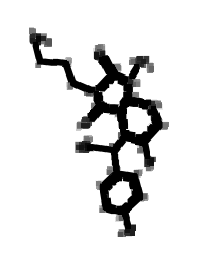 CCCCn1c(=O)c2c(C(O)c3ccc(Cl)cc3)c(Br)cnc2n(C)c1=O